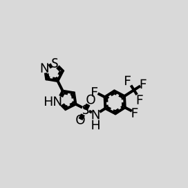 O=S(=O)(Nc1cc(F)c(C(F)(F)F)cc1F)c1c[nH]c(-c2cnsc2)c1